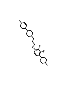 CC1C=CC(C2CCC(CCCOc3ccc(C4CCC(C)CC4)c(F)c3F)CC2)CC1